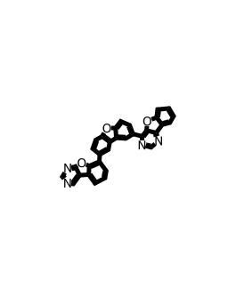 c1ccc2c(c1)oc1c(-c3ccc4oc5ccc(-c6cccc7c6oc6ncncc67)cc5c4c3)ncnc12